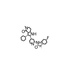 C[C@H](C(=O)Nc1cc(-c2[nH]c3ccn(C)c(=O)c3c2-c2ccccc2)ccn1)c1ccc(F)cc1